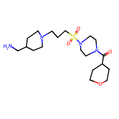 NCC1CCN(CCCS(=O)(=O)N2CCN(C(=O)C3CCOCC3)CC2)CC1